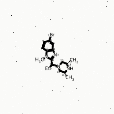 CCC(c1nc2cc(Br)ccc2n1C)N1C[C@@H](C)N[C@@H](C)C1